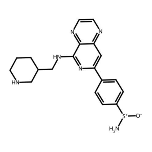 N[S+]([O-])c1ccc(-c2cc3nccnc3c(NCC3CCCNC3)n2)cc1